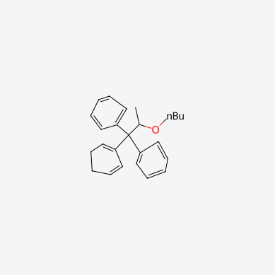 CCCCOC(C)C(C1=CCCC=C1)(c1ccccc1)c1ccccc1